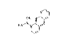 CN(C)c1cccc2nc3ccccc3nc12